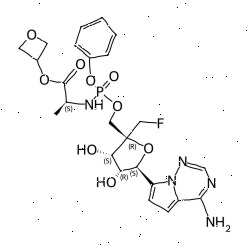 C[C@H](NP(=O)(OC[C@@]1(CF)O[C@@H](c2ccc3c(N)ncnn23)[C@H](O)[C@@H]1O)Oc1ccccc1)C(=O)OC1COC1